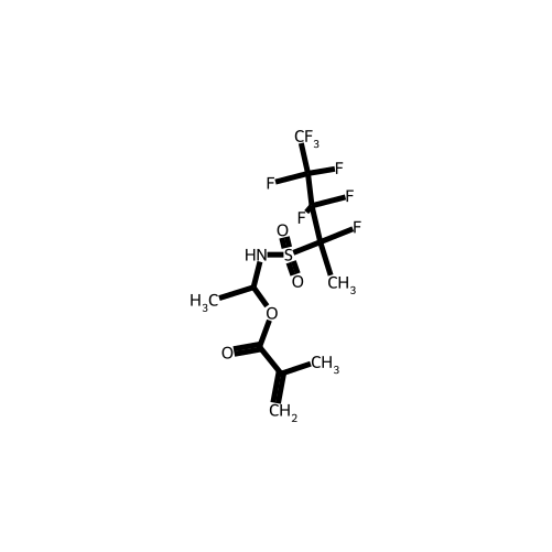 C=C(C)C(=O)OC(C)NS(=O)(=O)C(C)(F)C(F)(F)C(F)(F)C(F)(F)F